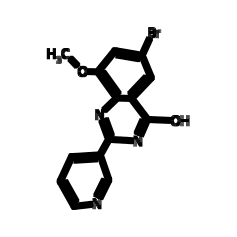 COc1cc(Br)cc2c(O)nc(-c3cccnc3)nc12